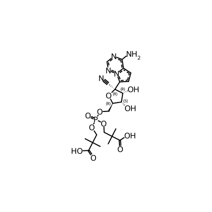 CC(C)(COP(=O)(OC[C@H]1O[C@@](C#N)(c2ccc3c(N)ncnn23)[C@H](O)[C@@H]1O)OCC(C)(C)C(=O)O)C(=O)O